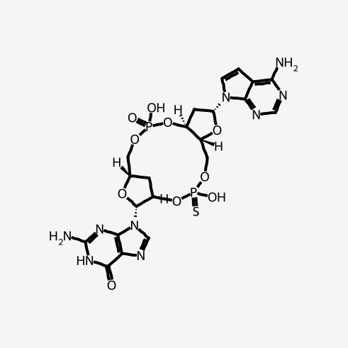 Nc1nc2c(ncn2[C@@H]2O[C@@H]3COP(=O)(O)O[C@H]4C[C@H](n5ccc6c(N)ncnc65)O[C@@H]4COP(O)(=S)O[C@@H]2C3)c(=O)[nH]1